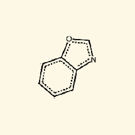 [c]1c[c]c2ocnc2c1